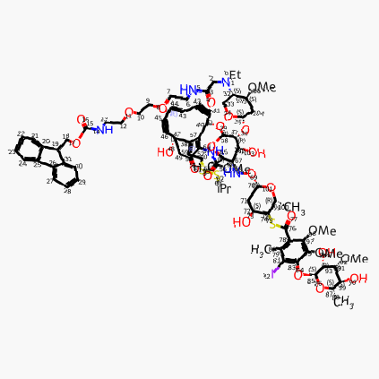 CCN(CC(=O)NCCOCCOCCNC(=O)OCC1c2ccccc2-c2ccccc21)[C@H]1CO[C@@H](O[C@H]2[C@H](O[C@H]3C#C/C=C/C#C[C@]4(O)CC(=O)C(NC(=O)OC)=C3/C4=C\CSSC(C)C)O[C@H](C)[C@@H](NO[C@H]3C[C@H](O)[C@H](SC(=O)c4c(C)c(I)c(O[C@@H]5O[C@@H](C)[C@H](O)[C@@H](OC)[C@H]5O)c(OC)c4OC)[C@@H](C)O3)[C@@H]2O)C[C@@H]1OC